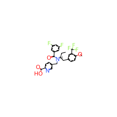 CC[C@@H](Cc1ccc(OC)c(C(F)(F)F)c1)N(Cc1ccc(C(=O)O)nc1)C(=O)c1cc(F)cc(F)c1